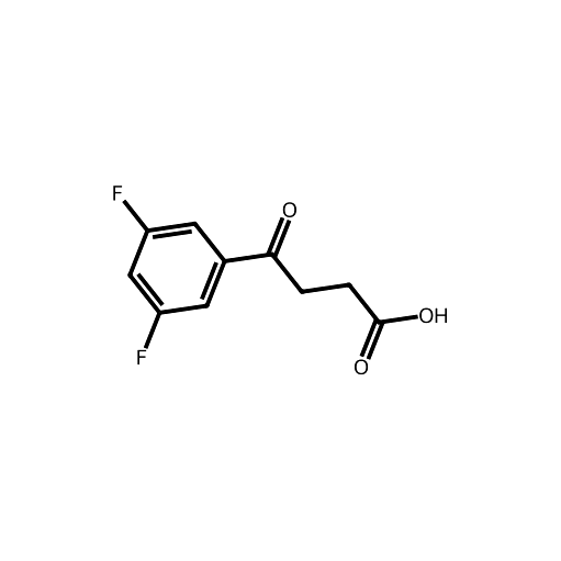 O=C(O)CCC(=O)c1cc(F)cc(F)c1